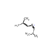 CC(C)=C/N=C\N(C)C